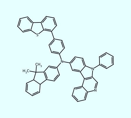 CC1(C)c2cc(N(c3ccc(-c4cccc5c4sc4ccccc45)cc3)c3ccc4c(c3)c3c5ccccc5ncc3n4-c3ccccc3)ccc2C2C=CC=CC21